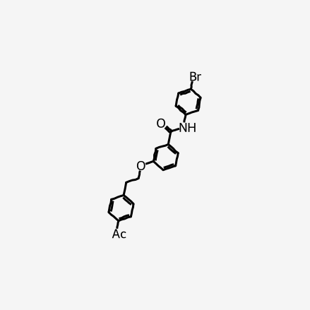 CC(=O)c1ccc(CCOc2cccc(C(=O)Nc3ccc(Br)cc3)c2)cc1